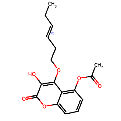 CC/C=C/CCOc1c(O)c(=O)oc2cccc(OC(C)=O)c12